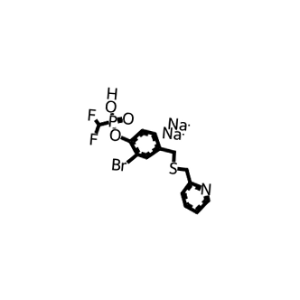 O=P(O)(Oc1ccc(CSCc2ccccn2)cc1Br)C(F)F.[Na].[Na]